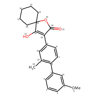 COc1cccc(-c2ccc(C3=C(O)C4(CCCCC4)OC3=O)cc2C)c1